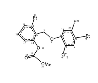 CCc1cc(C(F)(F)F)c(OCc2c(CC)cccc2OC(=O)OC)cc1F